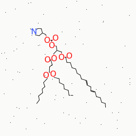 CCCCCC=CCC=CCCCCCCCC(=O)OCC(COC(=O)CCC(OCCCCCCCC)OCCCCCCCC)COC(=O)OCC1CCN(C)CC1